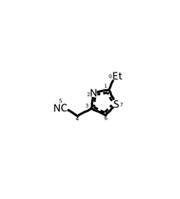 CCc1nc(CC#N)cs1